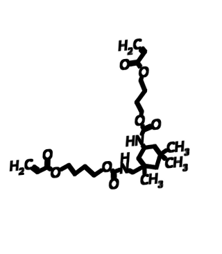 C=CC(=O)OCCCCOC(=O)NCC1(C)CC(NC(=O)OCCCCOC(=O)C=C)CC(C)(C)C1